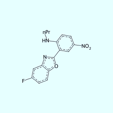 CCCNc1ccc([N+](=O)[O-])cc1-c1nc2cc(F)ccc2o1